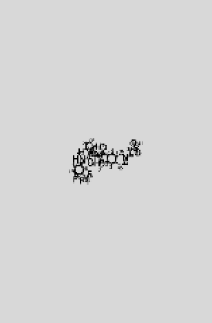 COc1cc2c(cc1C(=O)N[C@H]1[C@@H](C(=O)Nc3ccc(F)c(C(F)(F)F)c3)[C@H]3CC[C@@H]1/C3=C\C1CC1)CN(CCS(C)(=O)=O)CC2